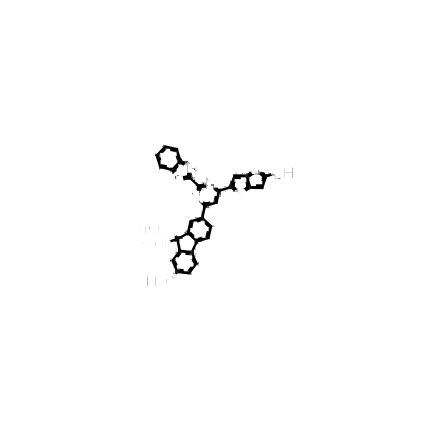 CCCCCCCCC1(CCCCCCCC)c2cc(C)ccc2-c2ccc(-c3cc(-c4cc5sc(C)cc5s4)nc(-c4nc5ccccc5s4)n3)cc21